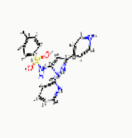 Cc1ccc(S(=O)(=O)Nc2cc(-c3ccncc3)nn2-c2ccccn2)cc1